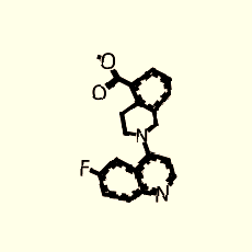 COC(=O)c1cccc2c1CCN(c1ccnc3ccc(F)cc13)C2